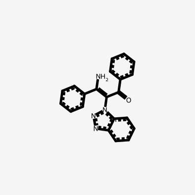 N/C(=C(\C(=O)c1ccccc1)n1nnc2ccccc21)c1ccccc1